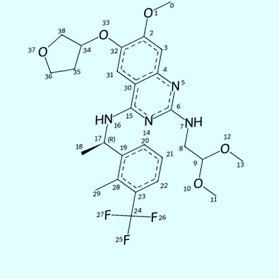 COc1cc2nc(NCC(OC)OC)nc(N[C@H](C)c3cccc(C(F)(F)F)c3C)c2cc1OC1CCOC1